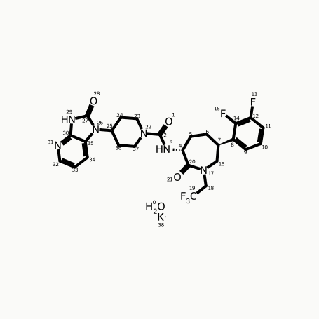 O.O=C(N[C@@H]1CC[C@@H](c2cccc(F)c2F)CN(CC(F)(F)F)C1=O)N1CCC(n2c(=O)[nH]c3ncccc32)CC1.[K]